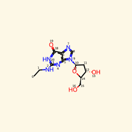 CCNc1nc2c(ncn2[C@H]2C[C@H](O)[C@@H](CO)O2)c(=O)[nH]1